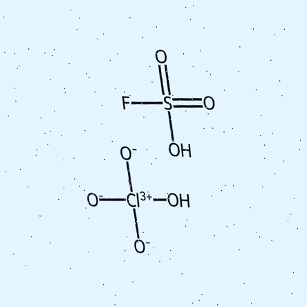 O=S(=O)(O)F.[O-][Cl+3]([O-])([O-])O